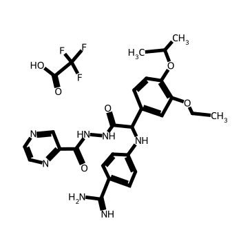 CCOc1cc(C(Nc2ccc(C(=N)N)cc2)C(=O)NNC(=O)c2cnccn2)ccc1OC(C)C.O=C(O)C(F)(F)F